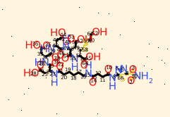 NS(=O)(=O)c1nnc(NC(=O)CCC(=O)NCCCCCC(=O)N[C@@H](CC(=O)O)C(=O)N[C@@H](CC(=O)O)C(=O)N[C@@H](CC(=O)O)C(=O)N[C@@H](CC(=O)O)C(=O)N[C@@H](CSSCCO)C(=O)O)s1